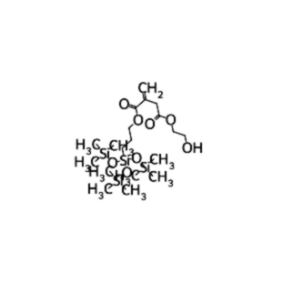 C=C(CC(=O)OCCO)C(=O)OCCC[Si](O[Si](C)(C)C)(O[Si](C)(C)C)O[Si](C)(C)C